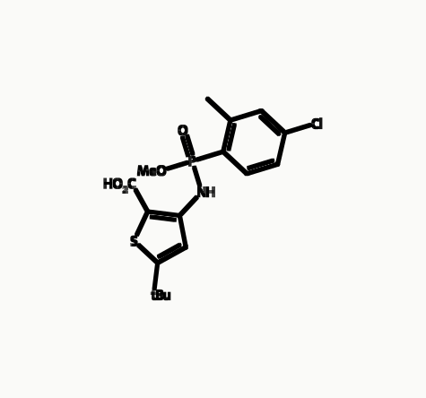 COP(=O)(Nc1cc(C(C)(C)C)sc1C(=O)O)c1ccc(Cl)cc1C